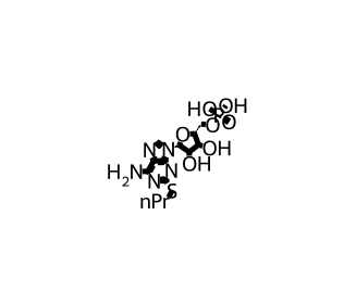 CCCSc1nc(N)c2ncn([C@@H]3O[C@H](COP(=O)(O)O)C(O)C3O)c2n1